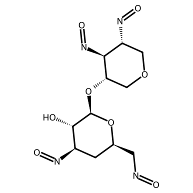 O=NC[C@H]1C[C@@H](N=O)[C@H](O)[C@@H](O[C@H]2COC[C@@H](N=O)[C@@H]2N=O)O1